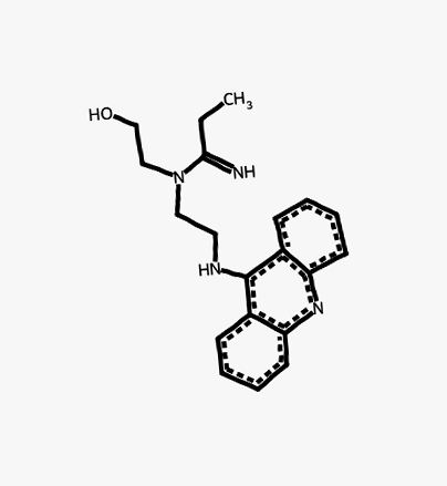 CCC(=N)N(CCO)CCNc1c2ccccc2nc2ccccc12